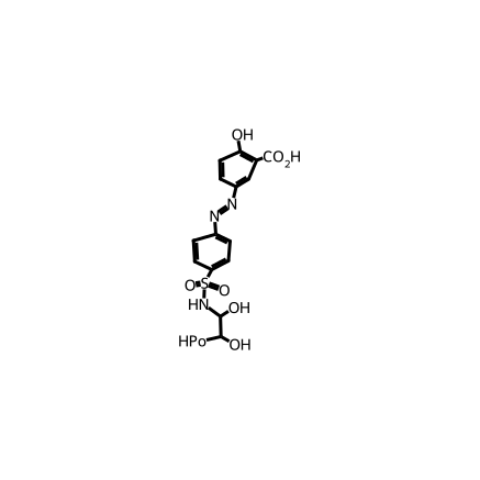 O=C(O)c1cc(N=Nc2ccc(S(=O)(=O)NC(O)[CH](O)[PoH])cc2)ccc1O